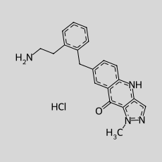 Cl.Cn1ncc2[nH]c3ccc(Cc4ccccc4CCN)cc3c(=O)c21